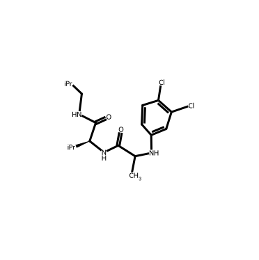 CC(C)CNC(=O)[C@@H](NC(=O)C(C)Nc1ccc(Cl)c(Cl)c1)C(C)C